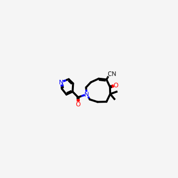 CC1(C)CCCN(C(=O)c2ccncc2)CC/C=C(/C#N)C1=O